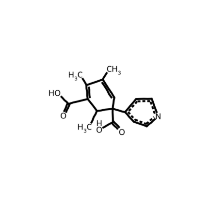 CC1=CC(C(=O)O)(c2ccncc2)C(C)C(C(=O)O)=C1C